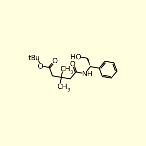 CC(C)(CC(=O)N[C@@H](CO)c1ccccc1)CC(=O)OC(C)(C)C